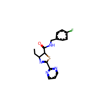 CCC1N=C(c2ncccn2)SC1C(=O)NCc1ccc(F)cc1